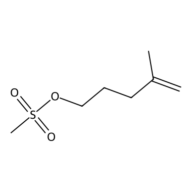 C=C(C)CCCOS(C)(=O)=O